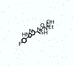 CC[C@H](CO)NC(=O)c1nc(-c2cnc3[nH]c(-c4ccc(F)cc4)cc3c2)cs1